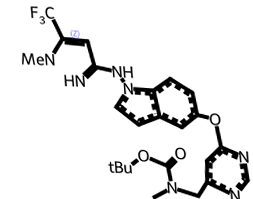 CN/C(=C\C(=N)Nn1ccc2cc(Oc3cc(CN(C)C(=O)OC(C)(C)C)ncn3)ccc21)C(F)(F)F